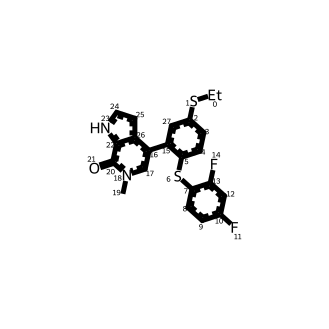 CCSc1ccc(Sc2ccc(F)cc2F)c(-c2cn(C)c(=O)c3[nH]ccc23)c1